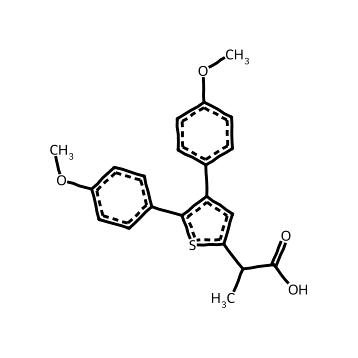 COc1ccc(-c2cc(C(C)C(=O)O)sc2-c2ccc(OC)cc2)cc1